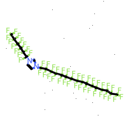 FC(F)(F)C(F)(F)C(F)(F)C(F)(F)C(F)(F)C(F)(F)[n+]1ccn(C(F)(F)C(F)(F)C(F)(F)C(F)(F)C(F)(F)C(F)(F)C(F)(F)C(F)(F)C(F)(F)C(F)(F)C(F)(F)C(F)(F)C(F)(F)C(F)(F)C(F)(F)C(F)(F)F)c1